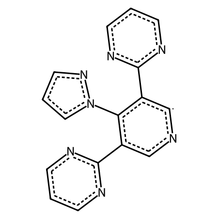 [c]1ncc(-c2ncccn2)c(-n2cccn2)c1-c1ncccn1